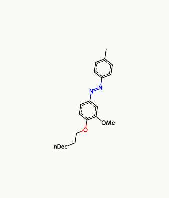 CCCCCCCCCCCCOc1ccc(N=Nc2ccc(C)cc2)cc1OC